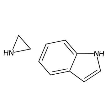 C1CN1.c1ccc2[nH]ccc2c1